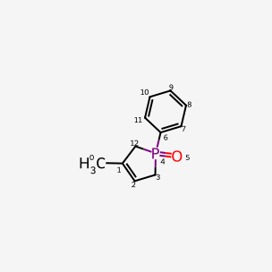 CC1=CCP(=O)(c2ccccc2)C1